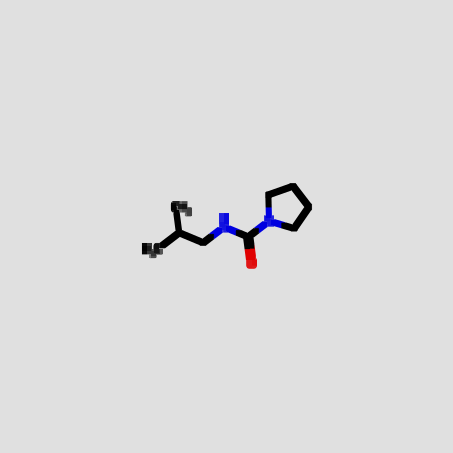 CC(C)CNC(=O)N1CCCC1